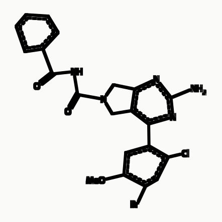 COc1cc(-c2nc(N)nc3c2CN(C(=O)NC(=O)c2ccccc2)C3)c(Cl)cc1Br